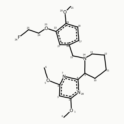 COc1cc(OC)nc(C2C[CH]CCN2Cc2ccc(OC)c(OCCF)c2)n1